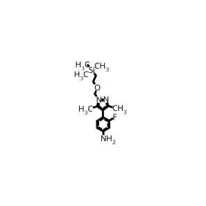 Cc1nn(COCC[Si](C)(C)C)c(C)c1-c1ccc(N)cc1F